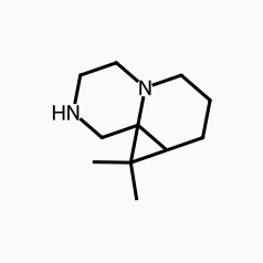 CC1(C)C2CCCN3CCNCC231